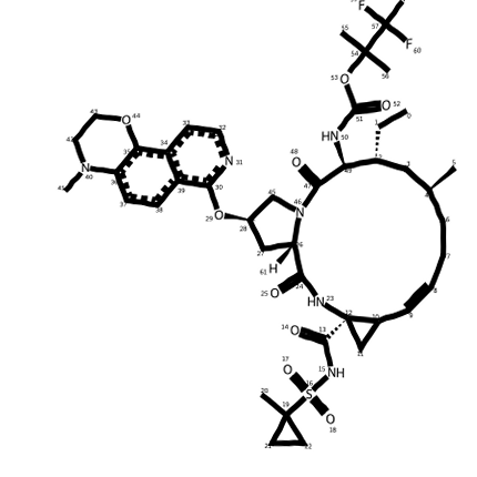 CC[C@@H]1C[C@@H](C)CC/C=C\C2C[C@@]2(C(=O)NS(=O)(=O)C2(C)CC2)NC(=O)[C@@H]2C[C@@H](Oc3nccc4c5c(ccc34)N(C)CCO5)CN2C(=O)[C@H]1NC(=O)OC(C)(C)C(F)(F)F